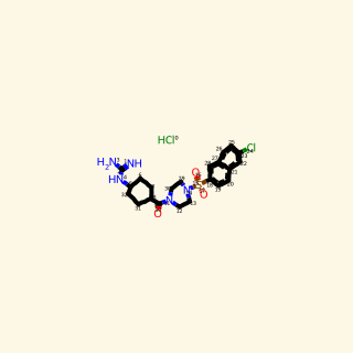 Cl.N=C(N)NC1CCC(C(=O)N2CCN(S(=O)(=O)c3ccc4cc(Cl)ccc4c3)CC2)CC1